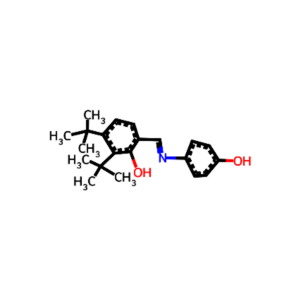 CC(C)(C)c1ccc(C=Nc2ccc(O)cc2)c(O)c1C(C)(C)C